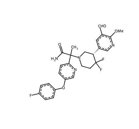 COc1ncc([C@H]2CN(C(C)(C(N)=O)c3ccc(Oc4ccc(F)cc4)cn3)CCC2(F)F)cc1C=O